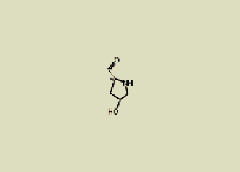 O=C[C@H]1CC(O)CN1